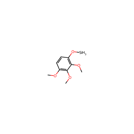 COc1ccc(O[SiH3])c(OC)c1OC